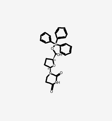 O=C1CCN([C@H]2CC[C@@H](C(O)O[Si](c3ccccc3)(c3ccccc3)c3ccccc3)O2)C(=O)N1